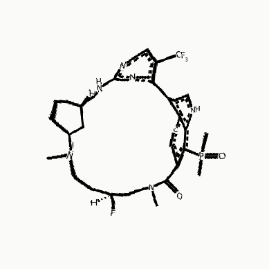 CN1C[C@@H](F)CCN(C)[C@H]2CC[C@@H](C2)Nc2ncc(C(F)(F)F)c(n2)-c2c[nH]c3c(P(C)(C)=O)c(ccc23)C1=O